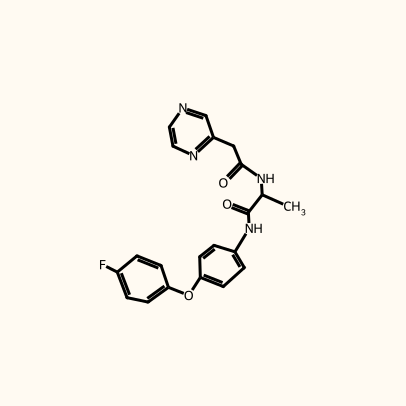 CC(NC(=O)Cc1cnccn1)C(=O)Nc1ccc(Oc2ccc(F)cc2)cc1